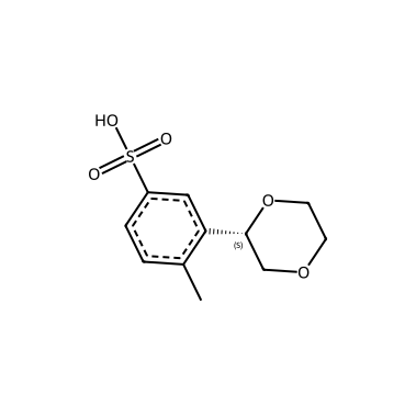 Cc1ccc(S(=O)(=O)O)cc1[C@H]1COCCO1